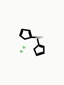 C1=CC[C]([Mo+2][C]2=CC=CC2)=C1.[Br-].[Br-]